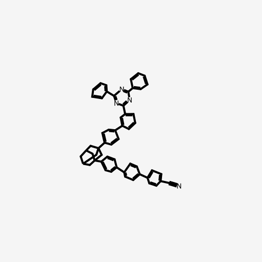 N#Cc1ccc(-c2ccc(-c3ccc(C45CC6CC(C4)CC(c4ccc(-c7cccc(-c8nc(-c9ccccc9)nc(-c9ccccc9)n8)c7)cc4)(C6)C5)cc3)cc2)cc1